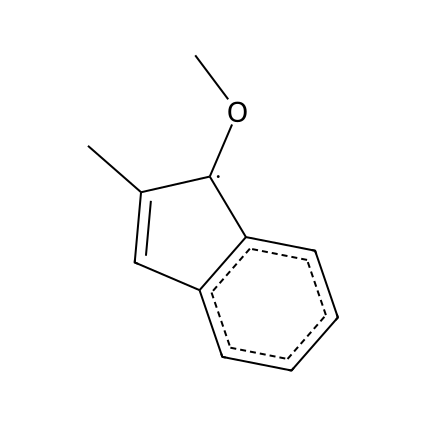 CO[C]1C(C)=Cc2ccccc21